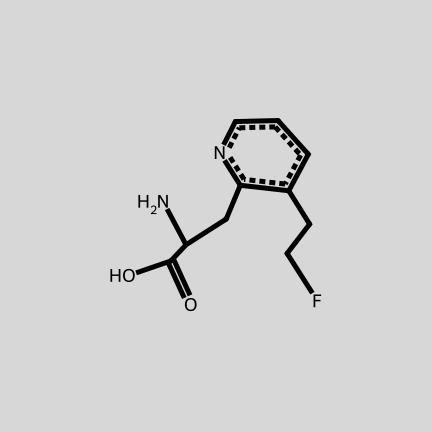 NC(Cc1ncccc1CCF)C(=O)O